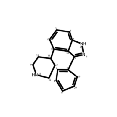 c1ccc(-c2n[nH]c3cccc(C4CCNCC4)c23)cc1